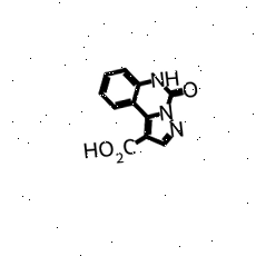 O=C(O)c1cnn2c(=O)[nH]c3ccccc3c12